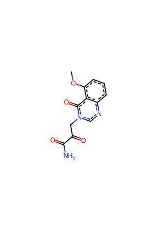 COc1cccc2ncn(CC(=O)C(N)=O)c(=O)c12